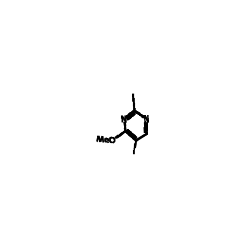 COc1nc(C)ncc1I